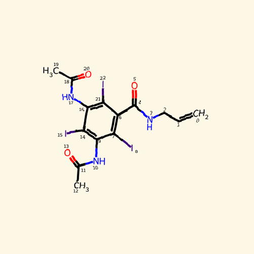 C=CCNC(=O)c1c(I)c(NC(C)=O)c(I)c(NC(C)=O)c1I